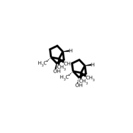 CC1(C)[C@@H]2CC[C@]1(C)[C@@H](O)C2.CC1(C)[C@@H]2CC[C@]1(C)[C@H](O)C2